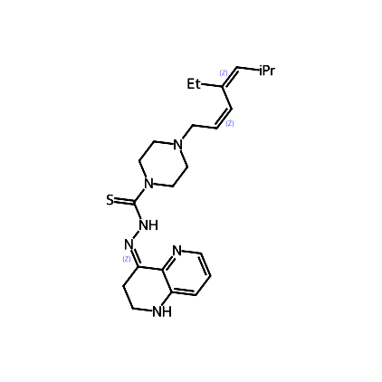 CCC(/C=C\CN1CCN(C(=S)N/N=C2/CCNc3cccnc32)CC1)=C/C(C)C